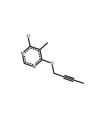 CC#CCOc1ncnc(Cl)c1C